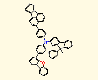 CC1(c2ccccc2)c2ccccc2-c2ccc(N(c3ccc(-c4ccc5c6c(cccc46)-c4ccccc4-5)cc3)c3ccc(-c4cccc5c4oc4ccccc45)cc3)cc21